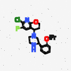 CC(C)Oc1ccccc1[C@@H]1CN([C@@H]2CCOc3nc(Cl)c(F)cc32)CCN1